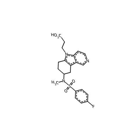 CN(C1CCc2c(c3cnccc3n2CCC(=O)O)C1)S(=O)(=O)c1ccc(F)cc1